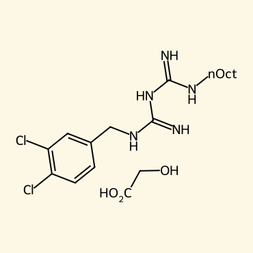 CCCCCCCCNC(=N)NC(=N)NCc1ccc(Cl)c(Cl)c1.O=C(O)CO